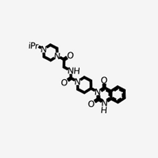 CC(C)N1CCN(C(=O)CNC(=O)N2CCC(n3c(=O)[nH]c4ccccc4c3=O)CC2)CC1